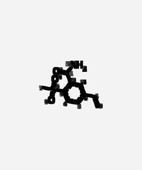 C=Cc1ccc(S(C)(=O)=O)c(C(N)=O)c1